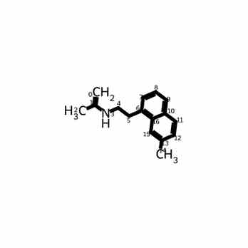 C=C(C)NCCc1cccc2ccc(C)cc12